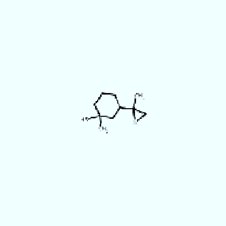 CC1(S)CCCC(C2(C)CS2)C1